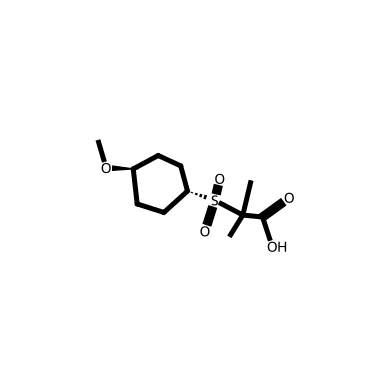 CO[C@H]1CC[C@H](S(=O)(=O)C(C)(C)C(=O)O)CC1